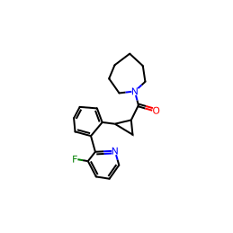 O=C(C1CC1c1ccccc1-c1ncccc1F)N1CCCCCC1